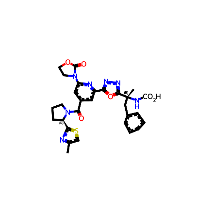 Cc1csc([C@H]2CCCN2C(=O)c2cc(-c3nnc([C@@](C)(Cc4ccccc4)NC(=O)O)o3)nc(N3CCOC3=O)c2)n1